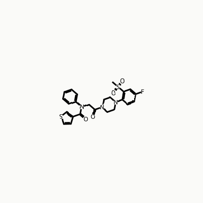 CS(=O)(=O)c1cc(F)ccc1N1CCN(C(=O)CN(C(=O)c2ccsc2)c2ccccc2)CC1